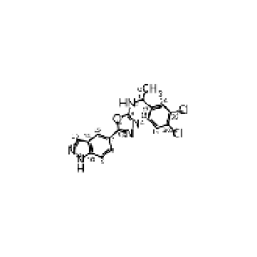 C[C@H](Nc1nnc(-c2ccc3[nH]ncc3c2)o1)c1ccc(Cl)c(Cl)c1